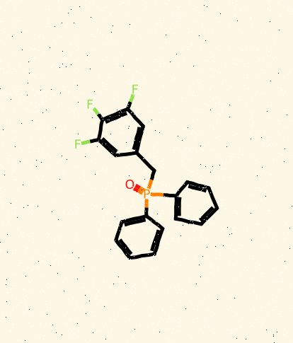 O=P(Cc1cc(F)c(F)c(F)c1)(c1ccccc1)c1ccccc1